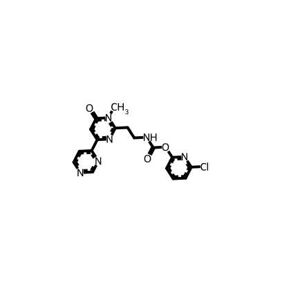 Cn1c(CCNC(=O)Oc2cccc(Cl)n2)nc(-c2ccncn2)cc1=O